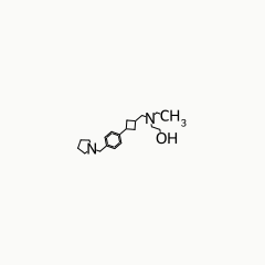 CCN(CCO)CC1CC(c2ccc(CN3CCCC3)cc2)C1